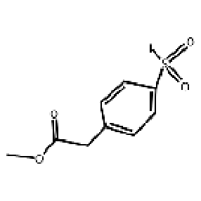 COC(=O)Cc1ccc(S(=O)(=O)I)cc1